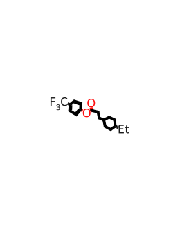 CCC1CCC(CCC(=O)Oc2ccc(C(F)(F)F)cc2)CC1